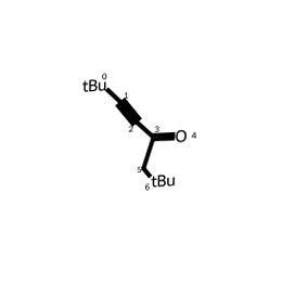 CC(C)(C)C#CC(=O)CC(C)(C)C